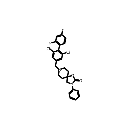 O=C1OC2(CCN(Cc3cc(Cl)c(-c4ccc(F)cc4F)c(Cl)c3)CC2)CN1c1ccccc1